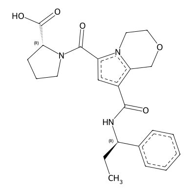 CC[C@@H](NC(=O)c1cc(C(=O)N2CCC[C@@H]2C(=O)O)n2c1COCC2)c1ccccc1